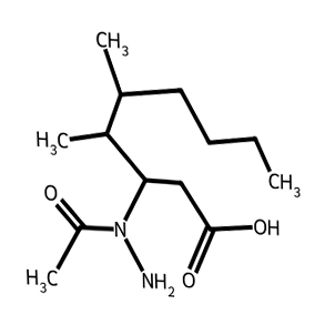 CCCCC(C)C(C)C(CC(=O)O)N(N)C(C)=O